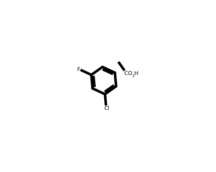 CC(=O)O.Fc1cccc(Cl)c1